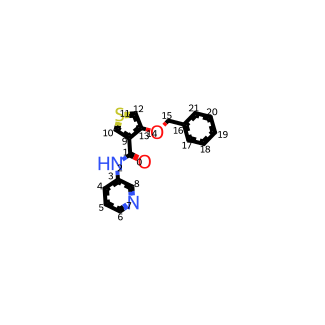 O=C(Nc1cccnc1)c1cscc1OCc1ccccc1